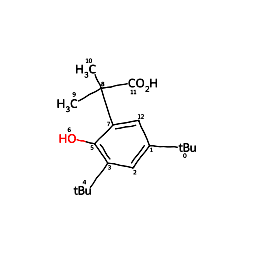 CC(C)(C)c1cc(C(C)(C)C)c(O)c(C(C)(C)C(=O)O)c1